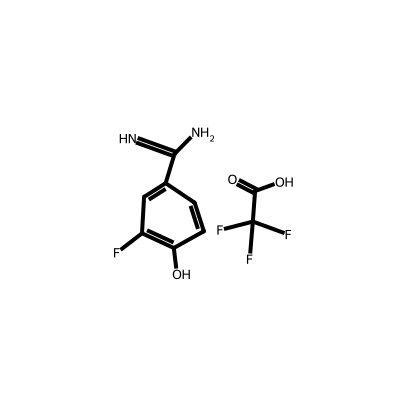 N=C(N)c1ccc(O)c(F)c1.O=C(O)C(F)(F)F